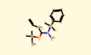 C=C[SiH2]C(O[Si](C)(C)C(C)(C)C)N(CCC)[Si](C)(C)c1ccccc1